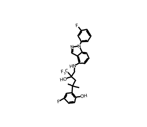 CC(C)(CC(O)(CNc1cccc2c1cnn2-c1cccc(F)c1)C(F)(F)F)c1cc(F)ccc1O